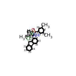 Cc1cc(C)cc(C(=O)[NH][Zr]([Cl])([Cl])([c]2cccc3c2Cc2ccccc2-3)[SiH](C)C)c1